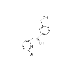 OCc1cccc([C@@H](O)Cc2cccc(Br)n2)c1